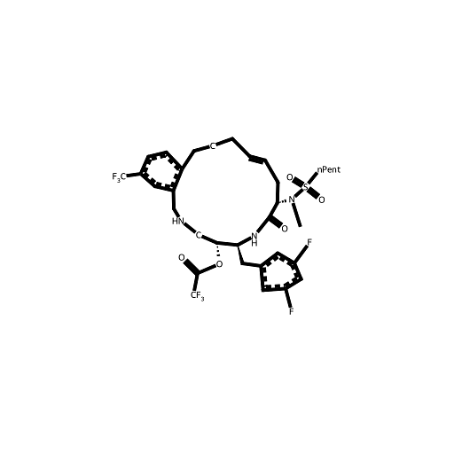 CCCCCS(=O)(=O)N(C)[C@H]1C/C=C/CCCc2ccc(C(F)(F)F)cc2CNC[C@@H](OC(=O)C(F)(F)F)[C@H](Cc2cc(F)cc(F)c2)NC1=O